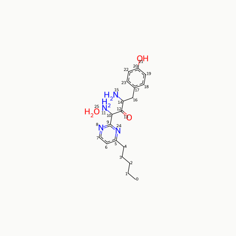 CCCCCc1ccnc(C(N)C(=O)C(N)Cc2ccc(O)cc2)n1.O